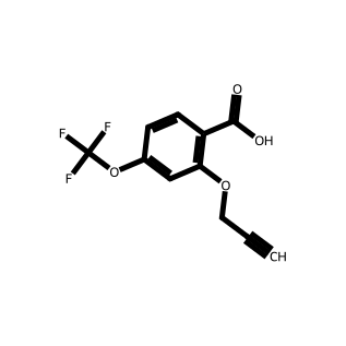 C#CCOc1cc(OC(F)(F)F)ccc1C(=O)O